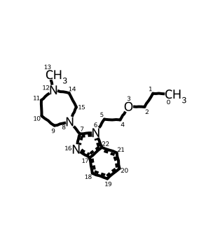 CCCOCCn1c(N2CCCN(C)CC2)nc2ccccc21